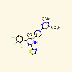 CCOC(=O)C1=C(C2CCN(c3cc(C(=O)O)nc(OC)n3)CC2)NC(c2nccs2)=NC1c1ccc(F)c(F)c1Cl